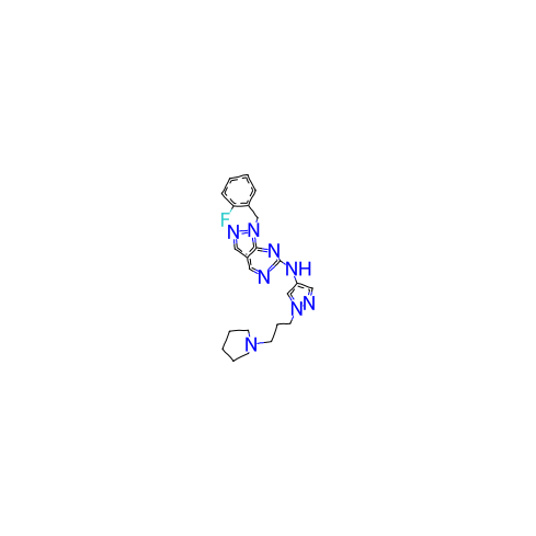 Fc1ccccc1Cn1ncc2cnc(Nc3cnn(CCCN4CCCCC4)c3)nc21